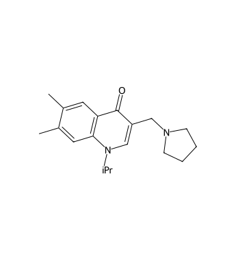 Cc1cc2c(=O)c(CN3CCCC3)cn(C(C)C)c2cc1C